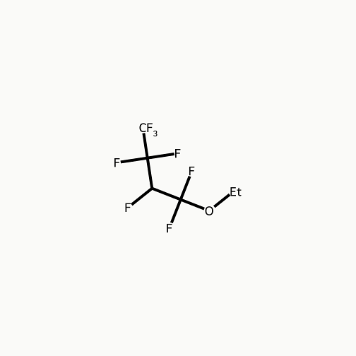 [CH2]COC(F)(F)C(F)C(F)(F)C(F)(F)F